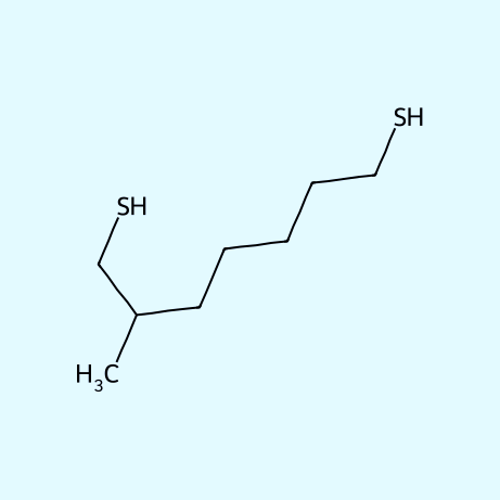 CC(CS)CCCCCS